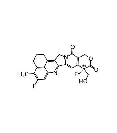 CC[C@@]1(CO)C(=O)OCc2c1cc1n(c2=O)Cc2c-1nc1cc(F)c(C)c3c1c2CCC3